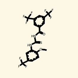 COc1ccc(C(F)(F)F)cc1NC(=S)NC(=O)c1cc(C(F)(F)F)cc(C(F)(F)F)c1